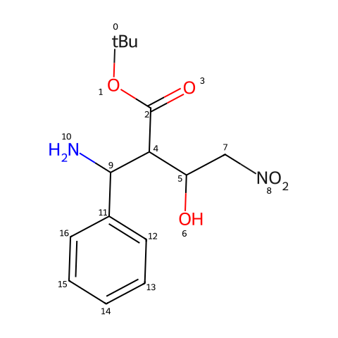 CC(C)(C)OC(=O)C(C(O)C[N+](=O)[O-])C(N)c1ccccc1